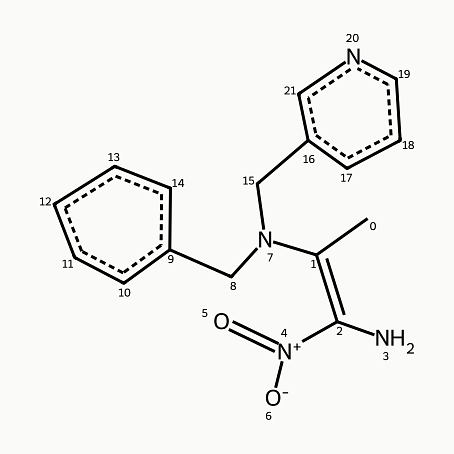 CC(=C(N)[N+](=O)[O-])N(Cc1ccccc1)Cc1cccnc1